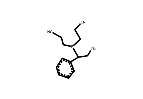 N#CCCP(CCC#N)C(CC#N)c1ccccc1